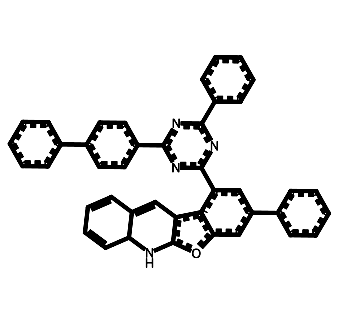 C1=CC2=Cc3c(oc4cc(-c5ccccc5)cc(-c5nc(-c6ccccc6)nc(-c6ccc(-c7ccccc7)cc6)n5)c34)NC2C=C1